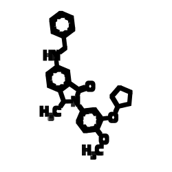 COc1ccc(N2C(=O)c3cc(NCc4ccccc4)ccc3C2C)cc1OC1CCCC1